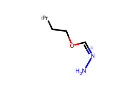 CC(C)CCO/C=N\N